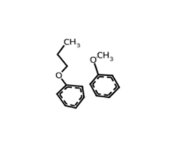 CCCOc1ccccc1.COc1ccccc1